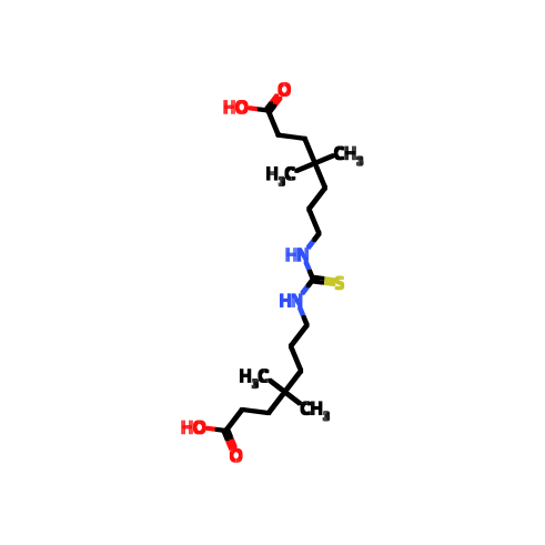 CC(C)(CCCNC(=S)NCCCC(C)(C)CCC(=O)O)CCC(=O)O